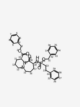 O=C(OCc1ccccc1)[C@@H]1CCCN2CCC[C@H](NP(=O)(CCc3ccccc3)OCc3ccccc3)C(=O)N12